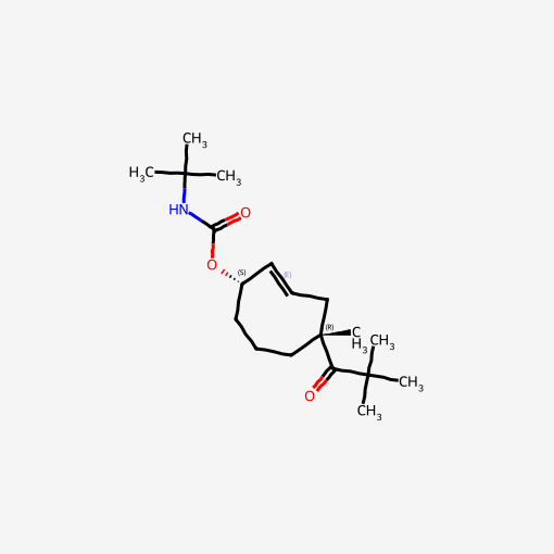 CC(C)(C)NC(=O)O[C@@H]1/C=C/C[C@](C)(C(=O)C(C)(C)C)CCC1